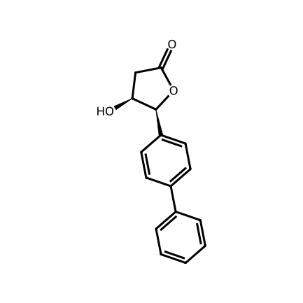 O=C1C[C@H](O)[C@H](c2ccc(-c3ccccc3)cc2)O1